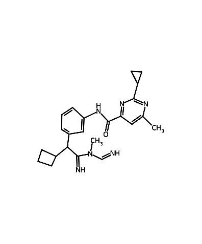 Cc1cc(C(=O)Nc2cccc(C(C(=N)N(C)C=N)C3CCC3)c2)nc(C2CC2)n1